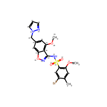 COc1cc(C)c(Br)cc1S(=O)(=O)Nc1noc2cc(Cn3cccn3)cc(OC)c12